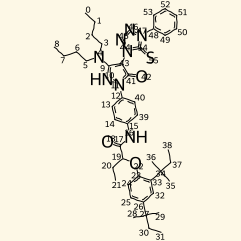 CCCCN(CCCC)c1[nH]n(-c2ccc(NC(=O)C(CC)Oc3ccc(C(C)(C)CC)cc3C(C)(C)CC)cc2)c(=O)c1-n1nnn(-c2ccccc2)c1=S